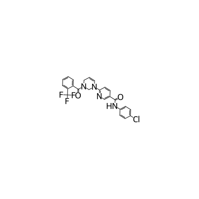 O=C(Nc1ccc(Cl)cc1)c1ccc(N2C=CCN(C(=O)c3ccccc3C(F)(F)F)C2)nc1